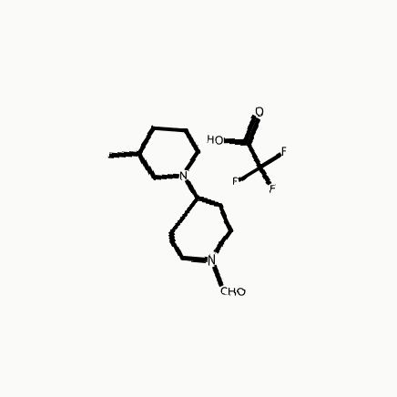 CC1CCCN(C2CCN(C=O)CC2)C1.O=C(O)C(F)(F)F